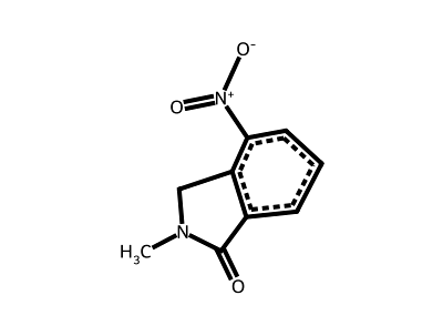 CN1Cc2c(cccc2[N+](=O)[O-])C1=O